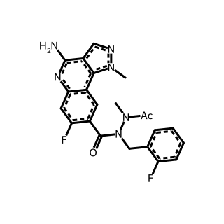 CC(=O)N(C)N(Cc1ccccc1F)C(=O)c1cc2c(cc1F)nc(N)c1cnn(C)c12